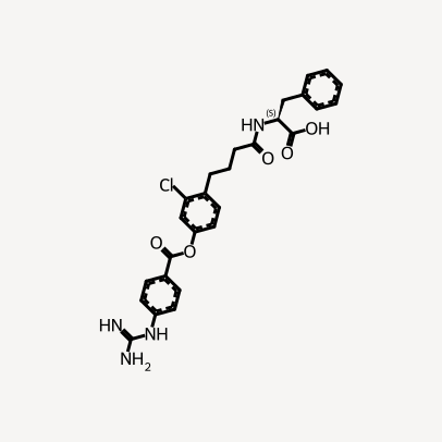 N=C(N)Nc1ccc(C(=O)Oc2ccc(CCCC(=O)N[C@@H](Cc3ccccc3)C(=O)O)c(Cl)c2)cc1